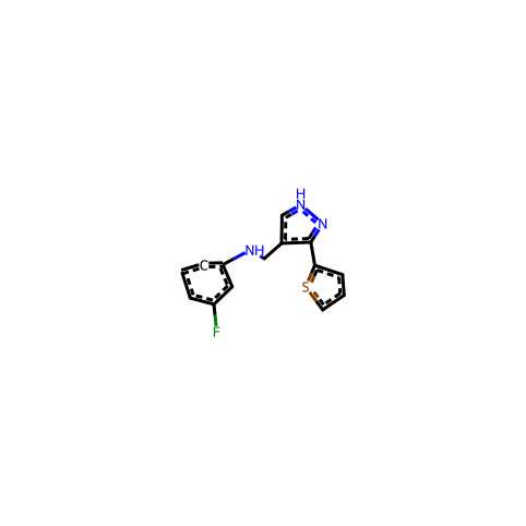 Fc1cccc(NCc2c[nH]nc2-c2cccs2)c1